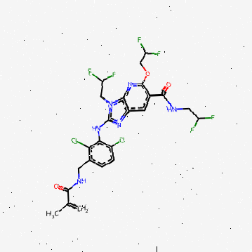 C=C(C)C(=O)NCc1ccc(Cl)c(Nc2nc3cc(C(=O)NCC(F)F)c(OCC(F)F)nc3n2CC(F)F)c1Cl